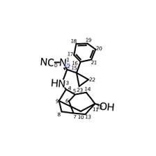 N#C/N=C(\NC1C2CC3CC1CC(O)(C3)C2)C1(c2ccccc2)CC1